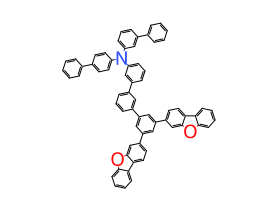 c1ccc(-c2ccc(N(c3cccc(-c4ccccc4)c3)c3cccc(-c4cccc(-c5cc(-c6ccc7c(c6)oc6ccccc67)cc(-c6ccc7c(c6)oc6ccccc67)c5)c4)c3)cc2)cc1